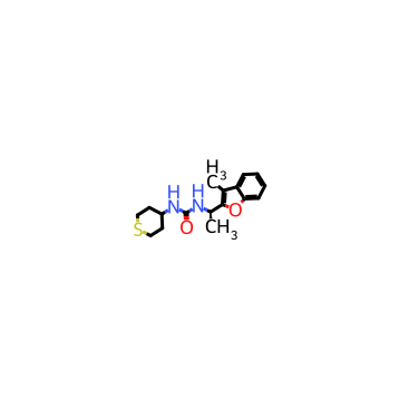 Cc1c([C@@H](C)NC(=O)NC2CCSCC2)oc2ccccc12